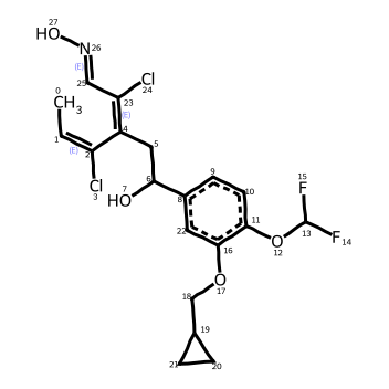 C\C=C(Cl)/C(CC(O)c1ccc(OC(F)F)c(OCC2CC2)c1)=C(Cl)\C=N\O